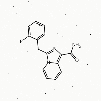 NC(=O)c1nc(Cc2ccccc2F)n2ccccc12